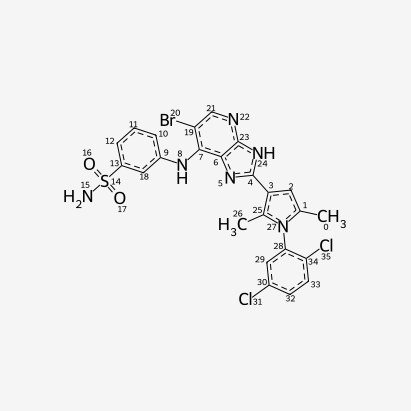 Cc1cc(-c2nc3c(Nc4cccc(S(N)(=O)=O)c4)c(Br)cnc3[nH]2)c(C)n1-c1cc(Cl)ccc1Cl